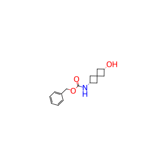 O=C(N[C@H]1CC2(C[C@@H](O)C2)C1)OCc1ccccc1